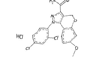 COc1ccc2c(c1)OCc1c(C(N)=O)nn(-c3ccc(Cl)cc3Cl)c1-2.Cl